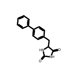 O=C1NC(=O)C(Cc2ccc(-c3ccccc3)cc2)N1